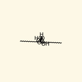 CCCCCCCCCCCCCCCCCC(=O)OC(CO[C@@H](O)CCCCCCCCCCCCCCCCC)CO[PH](=O)O